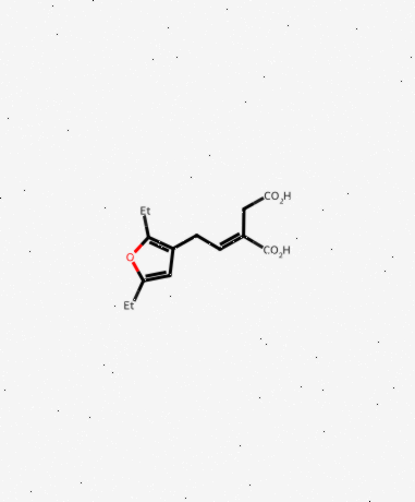 CCc1cc(CC=C(CC(=O)O)C(=O)O)c(CC)o1